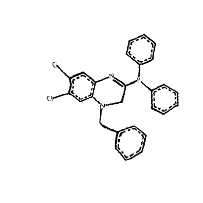 Clc1cc2c(cc1Cl)N(Cc1ccccc1)CC(P(c1ccccc1)c1ccccc1)=N2